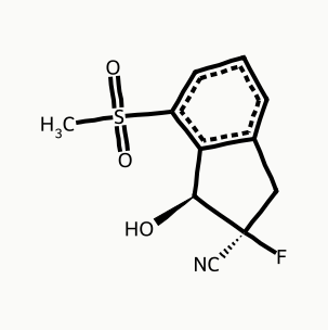 CS(=O)(=O)c1cccc2c1[C@H](O)[C@@](F)(C#N)C2